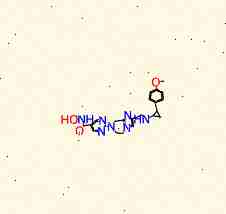 COc1ccc(C2CC2NCc2cn3c(n2)CN(c2ncc(C(=O)NO)cn2)CC3)cc1